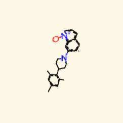 Cc1cc(C)c(C2CCN(c3[c]cc4ccc[n+]([O-])c4c3)CC2)c(C)c1